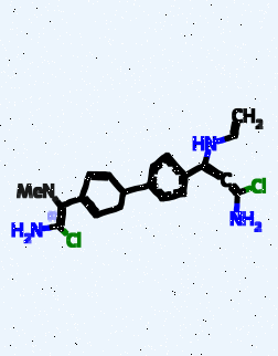 C=CNC(=C=C(N)Cl)c1ccc(C2C=CC(/C(NC)=C(/N)Cl)=CC2)cc1